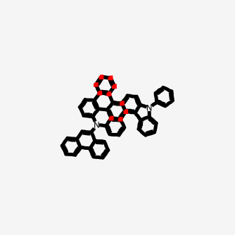 c1ccc(-c2ccccc2-c2c(-c3ccccc3)cccc2N(c2cccc(-c3cccc4c3c3ccccc3n4-c3ccccc3)c2)c2cc3ccccc3c3ccccc23)cc1